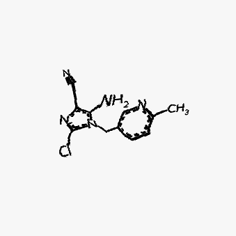 Cc1ccc(Cn2c(Cl)nc(C#N)c2N)cn1